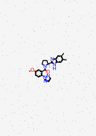 COc1ccc(-n2nccn2)c(C(=O)N2CCC[C@@]2(C)c2nc3cc(C)c(C)cc3[nH]2)c1